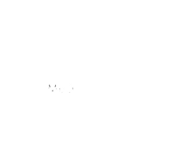 COC1=C=CCC1